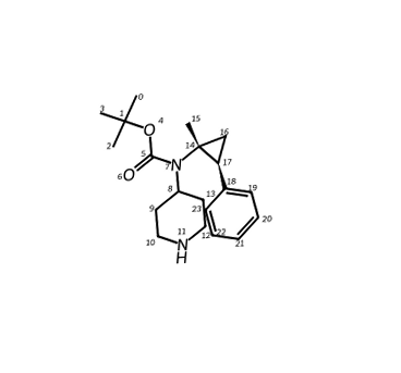 CC(C)(C)OC(=O)N(C1CCNCC1)[C@]1(C)C[C@H]1c1ccccc1